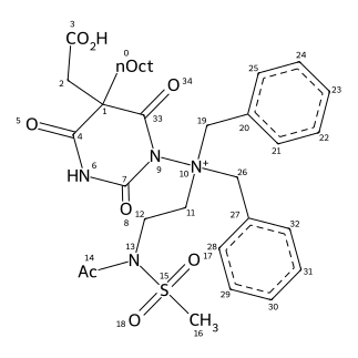 CCCCCCCCC1(CC(=O)O)C(=O)NC(=O)N([N+](CCN(C(C)=O)S(C)(=O)=O)(Cc2ccccc2)Cc2ccccc2)C1=O